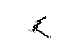 CCCCCc1ccc(-c2ccc(C(=O)O)c(CCCCCCCCCCl)c2)nc1